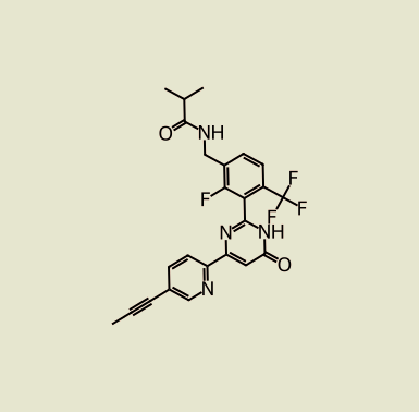 CC#Cc1ccc(-c2cc(=O)[nH]c(-c3c(C(F)(F)F)ccc(CNC(=O)C(C)C)c3F)n2)nc1